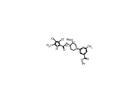 CO[C@H]1CN(c2cc(C(=O)OC(C)C)cc(C)n2)CC[C@H]1NC(=O)c1[nH]c(C)c(Cl)c1Cl